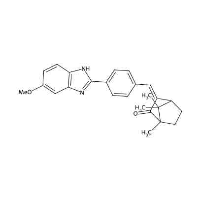 COc1ccc2[nH]c(-c3ccc(C=C4C(=O)C5(C)CCC4C5(C)C)cc3)nc2c1